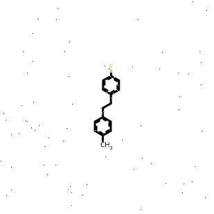 Cc1ccc([CH]Cc2ccc(F)cc2)cc1